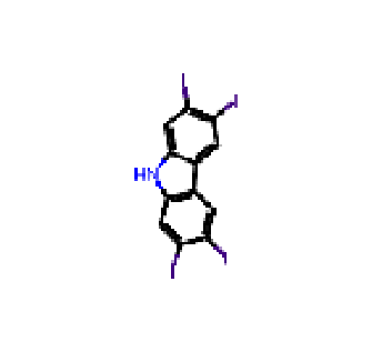 Ic1cc2[nH]c3cc(I)c(I)cc3c2cc1I